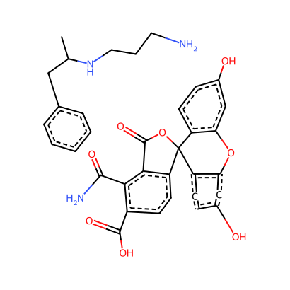 CC(Cc1ccccc1)NCCCN.NC(=O)c1c(C(=O)O)ccc2c1C(=O)OC21c2ccc(O)cc2Oc2cc(O)ccc21